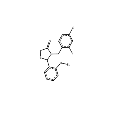 CCOc1ccccc1C1SCC(=O)N1Cc1ccc(Cl)cc1F